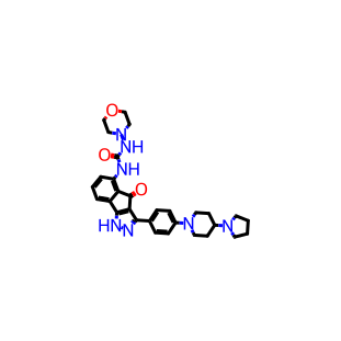 O=C(Nc1cccc2c1C(=O)c1c(-c3ccc(N4CCC(N5CCCC5)CC4)cc3)n[nH]c1-2)NN1CCOCC1